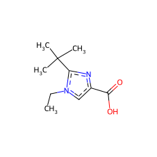 CCn1cc(C(=O)O)nc1C(C)(C)C